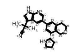 CC(C)(C#N)c1c[nH]c2ncc(-c3cc4c(c([C@@H]5CCCN5)c3)COCC4)cc12